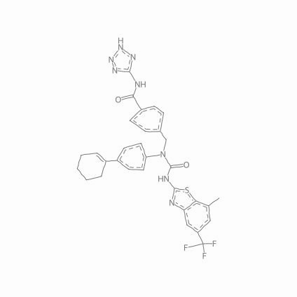 Cc1cc(C(F)(F)F)cc2nc(NC(=O)N(Cc3ccc(C(=O)Nc4nn[nH]n4)cc3)c3ccc(C4=CCCCC4)cc3)sc12